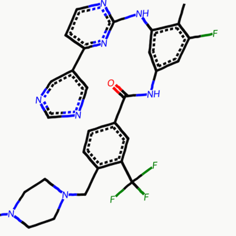 Cc1c(F)cc(NC(=O)c2ccc(CN3CCN(C)CC3)c(C(F)(F)F)c2)cc1Nc1nccc(-c2cncnc2)n1